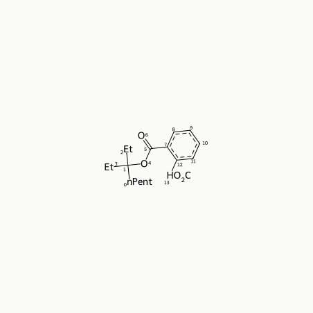 CCCCCC(CC)(CC)OC(=O)c1ccccc1C(=O)O